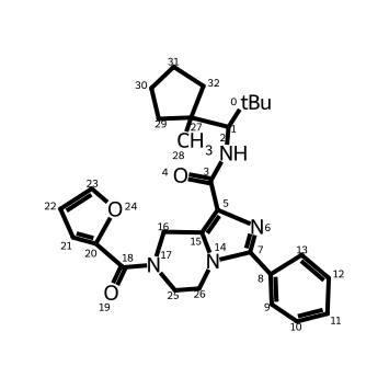 CC(C)(C)C(NC(=O)c1nc(-c2ccccc2)n2c1CN(C(=O)c1ccco1)CC2)C1(C)CCCC1